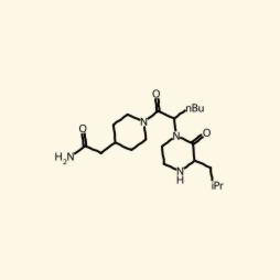 CCCCC(C(=O)N1CCC(CC(N)=O)CC1)N1CCNC(CC(C)C)C1=O